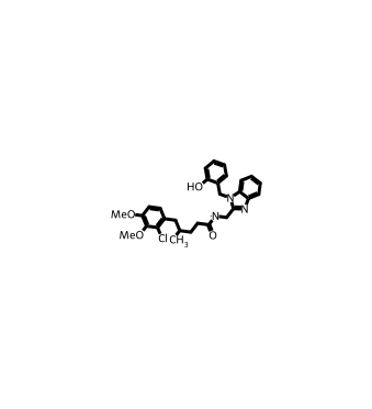 COc1ccc(CC(C)CCC(=O)[N]Cc2nc3ccccc3n2Cc2ccccc2O)c(Cl)c1OC